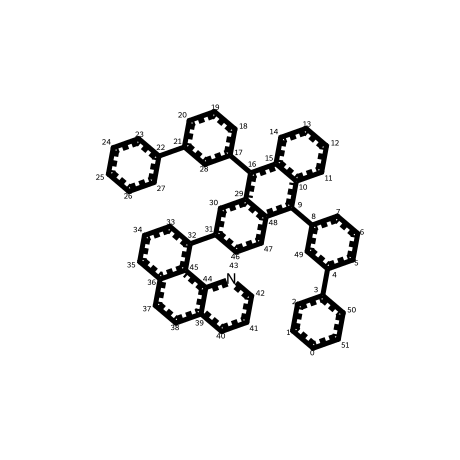 c1ccc(-c2cccc(-c3c4ccccc4c(-c4cccc(-c5ccccc5)c4)c4cc(-c5cccc6ccc7cccnc7c56)ccc34)c2)cc1